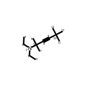 CCN(CC)C(C)(C)C#CC(C)(C)C